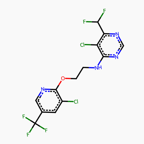 FC(F)c1ncnc(NCCOc2ncc(C(F)(F)F)cc2Cl)c1Cl